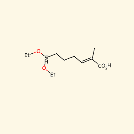 CCO[SiH](CCCC=C(C)C(=O)O)OCC